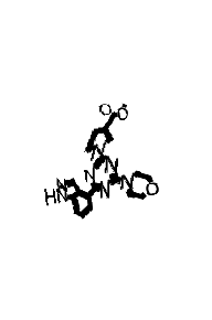 COC(=O)C1CCN(c2nc(-c3cccc4[nH]ncc34)nc(N3CCOCC3)n2)C1